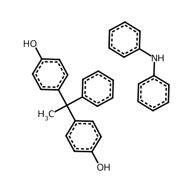 CC(c1ccccc1)(c1ccc(O)cc1)c1ccc(O)cc1.c1ccc(Nc2ccccc2)cc1